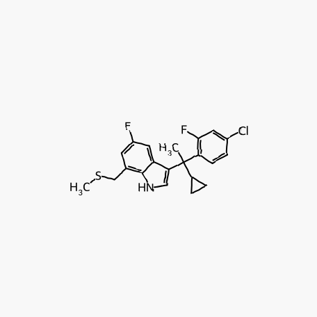 CSCc1cc(F)cc2c(C(C)(c3ccc(Cl)cc3F)C3CC3)c[nH]c12